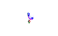 O=C(N[C@@H](Cc1ccc(F)cc1)C(=O)N1CC=CC1)C1Cc2cc(Cl)ncc2N1